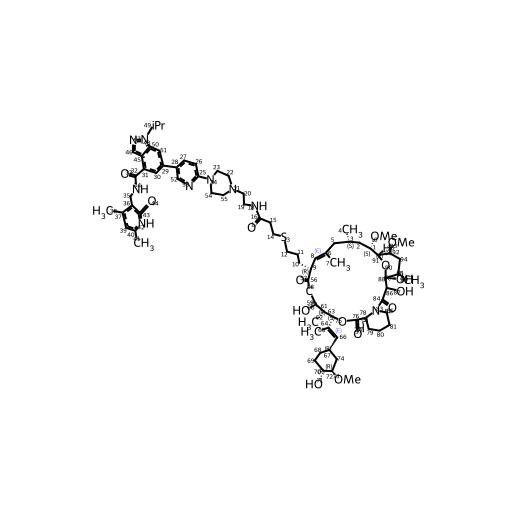 CO[C@H]1C[C@@H](C)C/C(C)=C/[C@@H](CCCSCCC(=O)NCCN2CCN(c3ccc(-c4cc(C(=O)NCc5c(C)cc(C)[nH]c5=O)c5cnn(C(C)C)c5c4)cn3)CC2)C(=O)C[C@H](O)[C@@H](C)[C@@H](/C(C)=C/[C@@H]2CC[C@@H](O)[C@H](OC)C2)OC(=O)[C@@H]2CCCCN2C(=O)C(O)[C@]2(O)O[C@H]1[C@@H](OC)C[C@H]2C